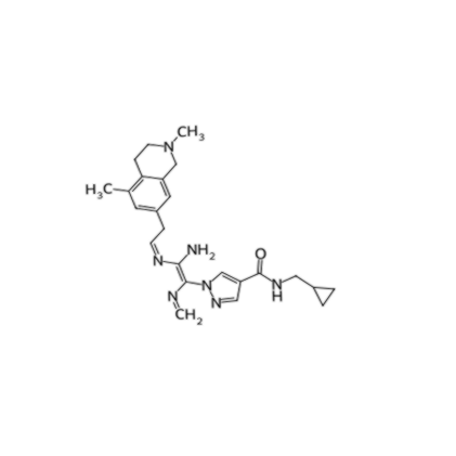 C=N/C(=C(N)\N=C/Cc1cc(C)c2c(c1)CN(C)CC2)n1cc(C(=O)NCC2CC2)cn1